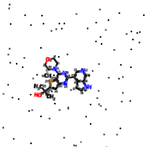 C[C@@H]1COCCN1c1nc(-c2cncc3[nH]ccc23)nc2cc(C(C)(C)O)sc12